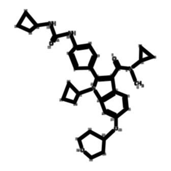 CN(C(=O)c1c(-c2ccc(NC(=O)NC3CCC3)cc2)n(C2CCC2)c2cc(OC3CCOCC3)ccc12)C1CC1